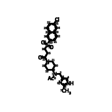 CC(=O)N(Cc1c[nH]c(C)n1)C1CCN(C(=O)CCS(=O)(=O)c2ccc3cc(Cl)ccc3c2)CC1